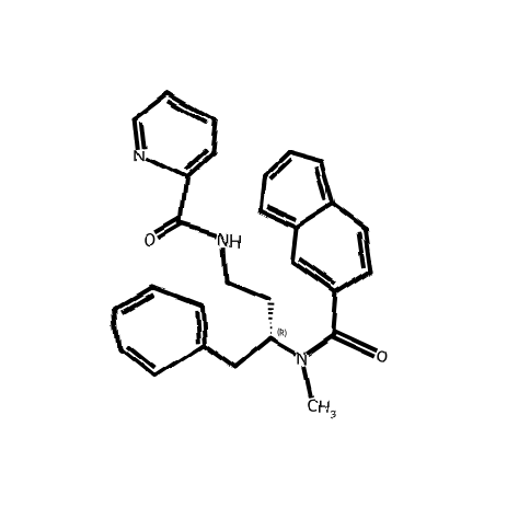 CN(C(=O)c1ccc2ccccc2c1)[C@@H](CCNC(=O)c1ccccn1)Cc1ccccc1